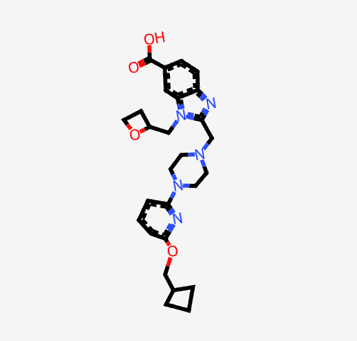 O=C(O)c1ccc2nc(CN3CCN(c4cccc(OCC5CCC5)n4)CC3)n(CC3CCO3)c2c1